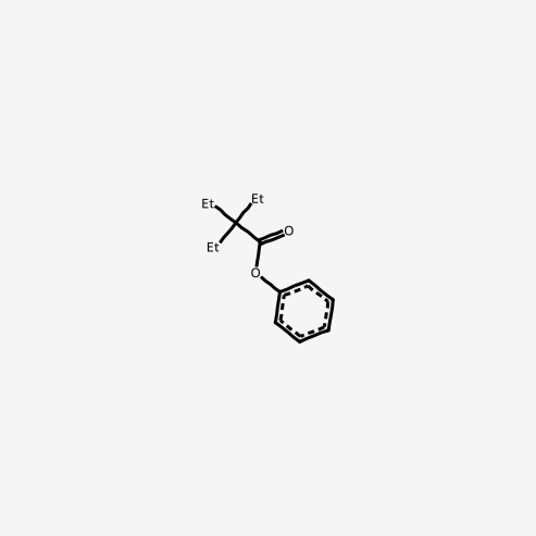 CCC(CC)(CC)C(=O)Oc1ccccc1